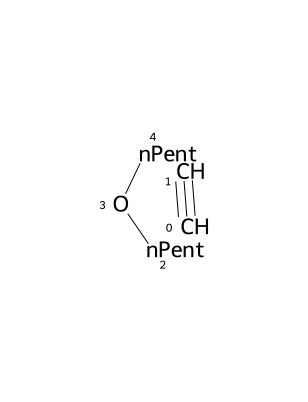 C#C.CCCCCOCCCCC